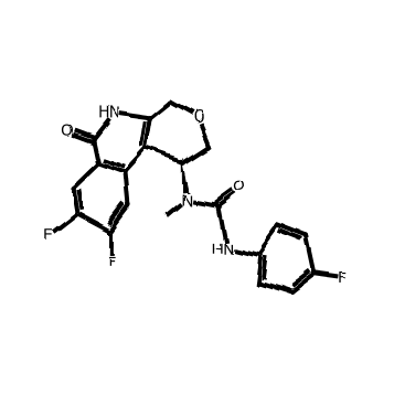 CN(C(=O)Nc1ccc(F)cc1)[C@@H]1COCc2[nH]c(=O)c3cc(F)c(F)cc3c21